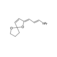 CCCC=CC=C1C=CC2(CCCO2)O1